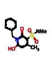 CNS(=O)(=O)c1c(C)cc(O)n(Cc2ccccc2)c1=O